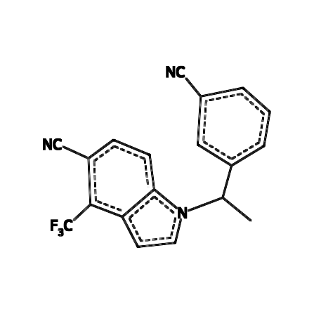 CC(c1cccc(C#N)c1)n1ccc2c(C(F)(F)F)c(C#N)ccc21